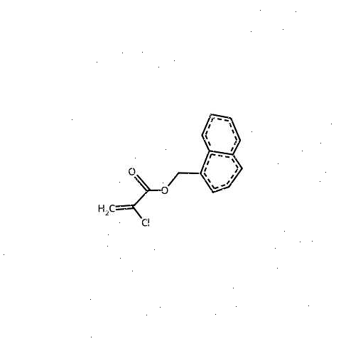 C=C(Cl)C(=O)OCc1cccc2ccccc12